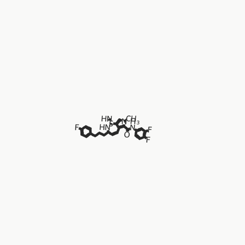 Cn1cc2c(c1C(=O)Nc1ccc(F)c(F)c1)C=CC(CCCc1ccc(F)cc1)NS2=N